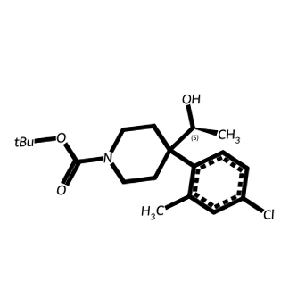 Cc1cc(Cl)ccc1C1([C@H](C)O)CCN(C(=O)OC(C)(C)C)CC1